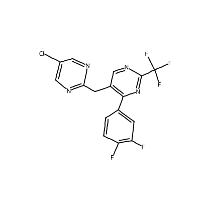 Fc1ccc(-c2nc(C(F)(F)F)ncc2Cc2ncc(Cl)cn2)cc1F